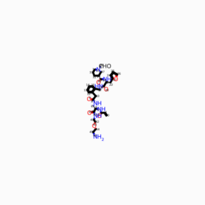 C=CC(=O)N[C@@H](CNC(=O)Cc1ccccc1CNC(=O)[C@H](Cc1ccco1)NC(=O)[C@@H]1CCCN(C=O)C1)C(=O)NCCOCCN